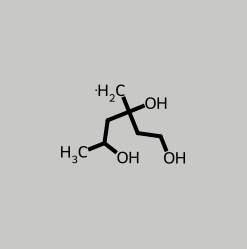 [CH2]C(O)(CCO)CC(C)O